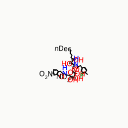 CCCCCCCCCCCCCC[C@@H](O)[C@@H](O)[C@H](CO[C@H]1OC(CNC(=O)Cc2ccc([N+](=O)[O-])cc2[N+](=O)[O-])[C@H](O)[C@H](O)C1O)NC(=O)Cc1ccc(C)c(F)c1